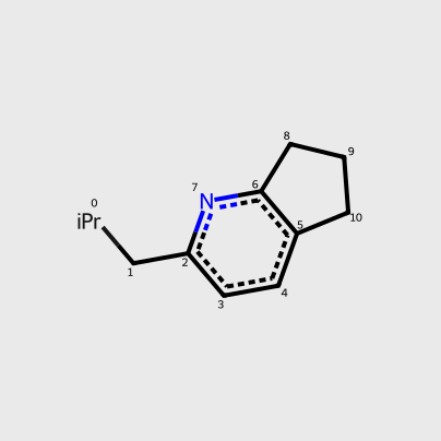 CC(C)Cc1ccc2c(n1)CCC2